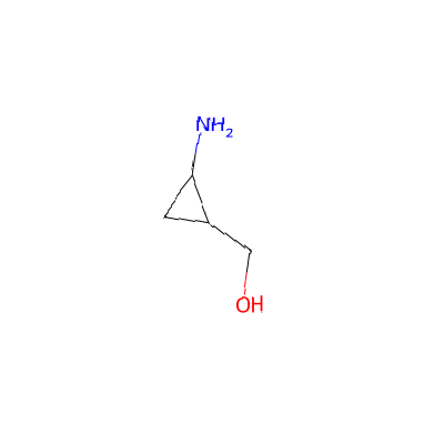 NC1CC1CO